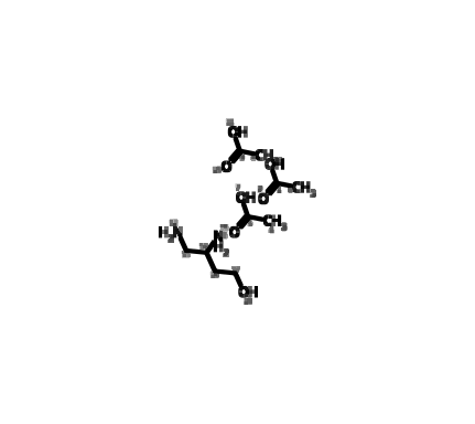 CC(=O)O.CC(=O)O.CC(=O)O.NCC(N)CCO